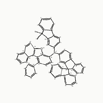 CC1(C)c2ccccc2-c2ccc(N(c3ccc4c(c3)C3(c5ccccc5-c5ccccc53)c3ccccc3-4)c3ccc(-c4ccccc4)c4c3oc3ccc5ccccc5c34)cc21